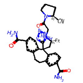 CC[C@H](CC1(c2nnn[nH]2)c2ccc(C(N)=O)cc2CCc2cc(C(N)=O)ccc21)NCC(=O)N1CCC[C@H]1C#N